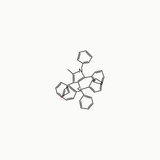 Cc1c(-c2ccccc2)c([Si](c2ccccc2)(c2ccccc2)c2ccccc2)c(-c2ccccc2)n1-c1ccccc1